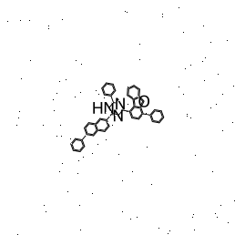 c1ccc(-c2ccc3cc(C4=NC(c5ccc(-c6ccccc6)c6oc7ccccc7c56)=NC(c5ccccc5)N4)ccc3c2)cc1